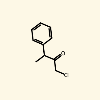 CC(C(=O)CCl)c1ccccc1